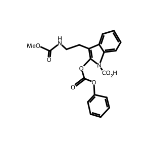 COC(=O)NCCc1c(OC(=O)Oc2ccccc2)n(C(=O)O)c2ccccc12